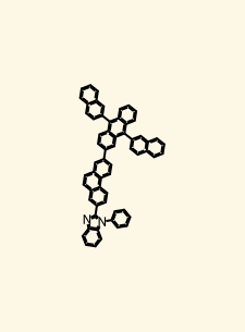 c1ccc(-n2c(-c3ccc4c(ccc5cc(-c6ccc7c(-c8ccc9ccccc9c8)c8ccccc8c(-c8ccc9ccccc9c8)c7c6)ccc54)c3)nc3ccccc32)cc1